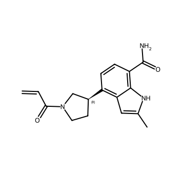 C=CC(=O)N1CC[C@H](c2ccc(C(N)=O)c3[nH]c(C)cc23)C1